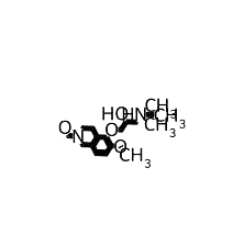 COc1ccc2c(c1OCC(O)CNC(C)(C)C)CCN(C=O)C2